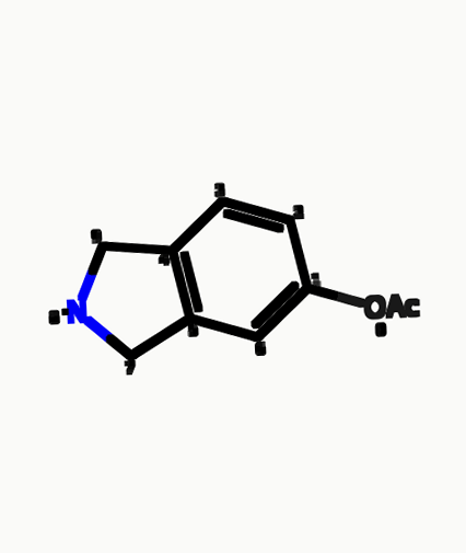 CC(=O)Oc1ccc2c(c1)C[N]C2